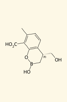 Cc1ccc2c(c1C(=O)O)OB(O)C[C@H]2CO